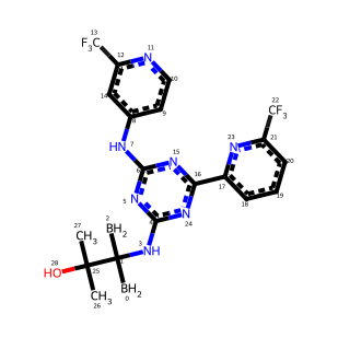 BC(B)(Nc1nc(Nc2ccnc(C(F)(F)F)c2)nc(-c2cccc(C(F)(F)F)n2)n1)C(C)(C)O